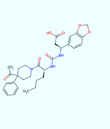 CCCC[C@H](NC(=O)N[C@@H](CC(=O)O)c1ccc2c(c1)OCO2)C(=O)N1CCC(C(C)=O)(c2ccccc2)CC1